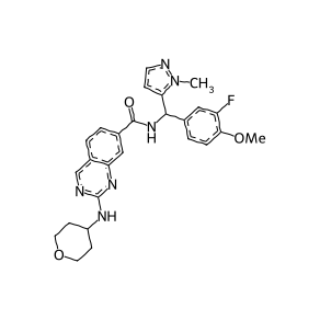 COc1ccc(C(NC(=O)c2ccc3cnc(NC4CCOCC4)nc3c2)c2ccnn2C)cc1F